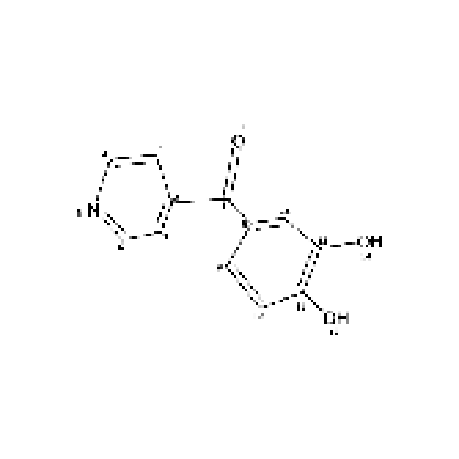 O=C(c1ccncc1)c1ccc(O)c(O)c1